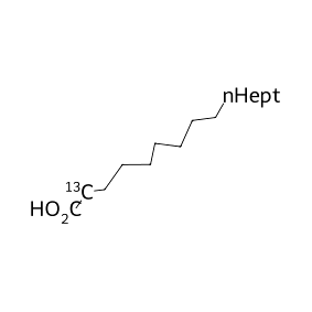 CCCCCCCCCCCCCC[13CH2][13C](=O)O